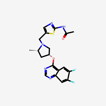 CC(=O)Nc1ncc(CN2C[C@H](Oc3ncnc4cc(F)c(F)cc34)C[C@@H]2C)s1